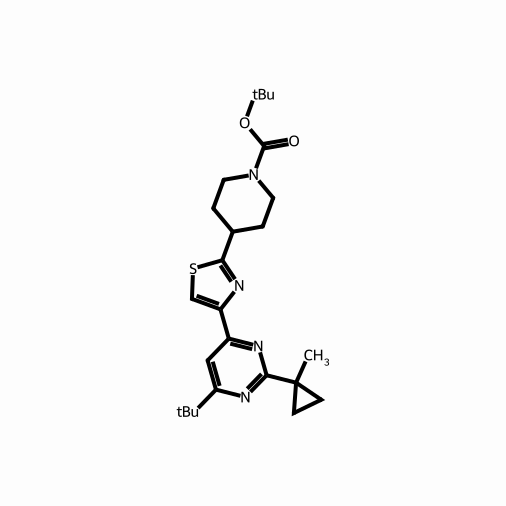 CC(C)(C)OC(=O)N1CCC(c2nc(-c3cc(C(C)(C)C)nc(C4(C)CC4)n3)cs2)CC1